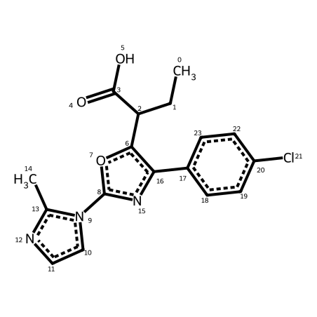 CCC(C(=O)O)c1oc(-n2ccnc2C)nc1-c1ccc(Cl)cc1